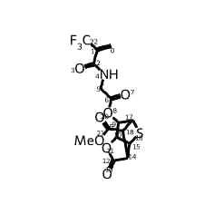 C=C(C(=O)NCC(=O)OC1C2OC(=O)C3C2SC1C3C(=O)OC)C(F)(F)F